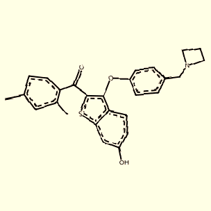 Cc1ccc(C(=O)c2sc3cc(O)ccc3c2Oc2ccc(CN3CCC3)cc2)c(C)c1